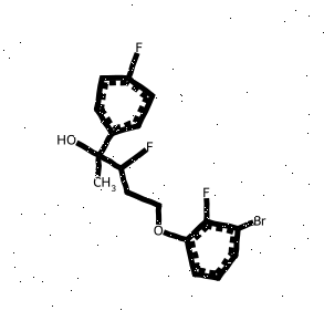 CC(O)(c1ccc(F)cc1)C(F)CCOc1cccc(Br)c1F